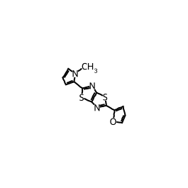 Cn1cccc1-c1nc2sc(-c3ccco3)nc2s1